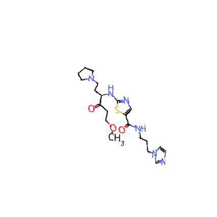 COCCC(=O)C(CCN1CCCC1)Nc1ncc(C(=O)NCCCn2ccnc2)s1